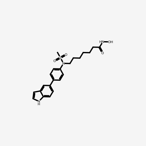 CS(=O)(=O)N(CCCCCCC(=O)NO)c1ccc(-c2ccc3[nH]ccc3c2)cc1